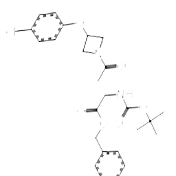 CC(C)(C)OC(=O)N[C@@H](CC(=O)N1CC(Oc2ccc(Cl)cc2)C1)C(=O)OCc1ccccc1